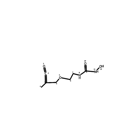 CC(=C=O)COCCNC(=O)NO